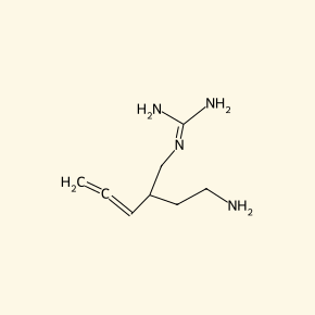 C=C=CC(CCN)CN=C(N)N